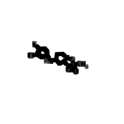 CN(C1CC(Nc2ccc(F)c(Cl)c2)CC[N]1)S(C)(=O)=O